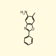 Cc1cc2oc(-c3ccccc3)nc2cc1N